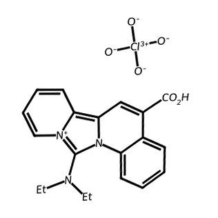 CCN(CC)c1n2c3ccccc3c(C(=O)O)cc2c2cccc[n+]12.[O-][Cl+3]([O-])([O-])[O-]